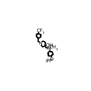 CC(C)Oc1ccc(N(C)CC2(O)CCN(Cc3ccc(C(F)(F)F)cc3)CC2)cc1